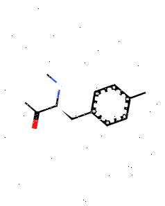 Cc1ccc(C[C@H](NC(C)C)C(=O)C(=O)O)cc1